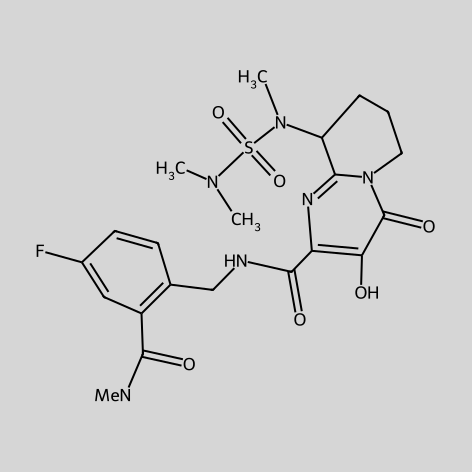 CNC(=O)c1cc(F)ccc1CNC(=O)c1nc2n(c(=O)c1O)CCCC2N(C)S(=O)(=O)N(C)C